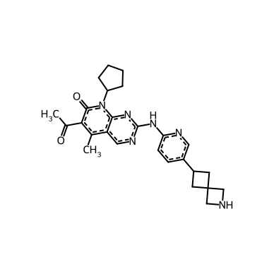 CC(=O)c1c(C)c2cnc(Nc3ccc(C4CC5(CNC5)C4)cn3)nc2n(C2CCCC2)c1=O